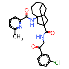 Cc1cccc(C(=O)NC23CCCC4CC2CC(C(=O)NCC(=O)c2cccc(Cl)c2)(C4)C3)n1